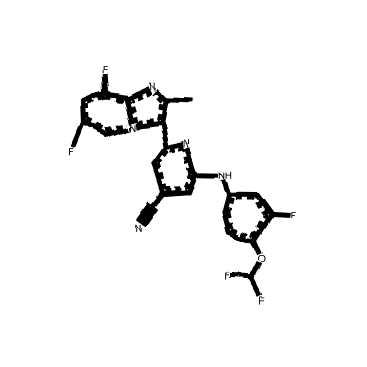 Cc1nc2c(F)cc(F)cn2c1-c1cc(C#N)cc(Nc2ccc(OC(F)F)c(F)c2)n1